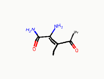 CC(C(=O)C(C)C)=C(N)C(N)=O